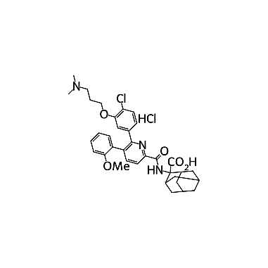 COc1ccccc1-c1ccc(C(=O)NC2(C(=O)O)C3CC4CC(C3)CC2C4)nc1-c1ccc(Cl)c(OCCCN(C)C)c1.Cl